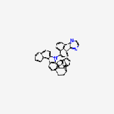 c1ccc2c(c1)-c1cc3c4c5ccccc5ccc4n(-c4ccc5c6c(cccc46)-c4nccnc4-5)c3c3c1CCC2c1ccccc1-3